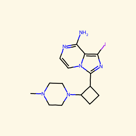 CN1CCN(C2CCC2c2nc(I)c3c(N)nccn23)CC1